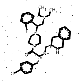 CCN(CC)CC(c1ccccc1F)N1CCN(C(=O)[C@@H](Cc2ccc(Cl)cc2)NC[C@H]2Cc3ccccc3CN2)CC1